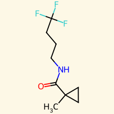 CC1(C(=O)NCCCC(F)(F)F)CC1